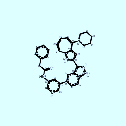 O=C(Cc1ccccc1)Nc1cncc(-c2ccc3[nH]nc(-c4cc5c([nH]4)C=C=CC=C5N4CCCCC4)c3c2)c1